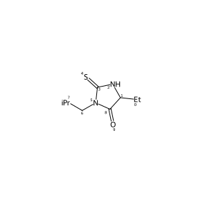 CCC1NC(=S)N(CC(C)C)C1=O